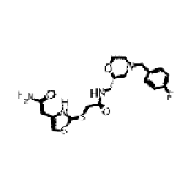 NC(=O)CC1=CSC(SCC(=O)NC[C@H]2CN(Cc3ccc(F)cc3)CCO2)N1